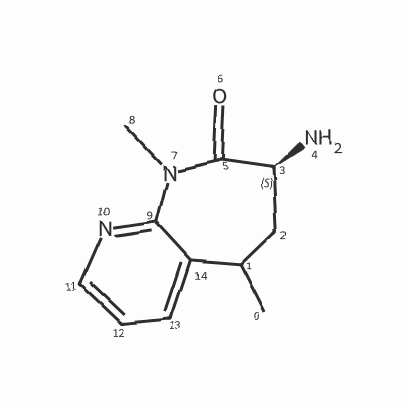 CC1C[C@H](N)C(=O)N(C)c2ncccc21